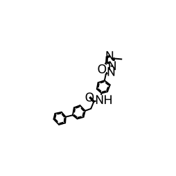 Cc1ncc2oc(-c3ccc(NC(=O)Cc4ccc(-c5ccccc5)cc4)cc3)nn12